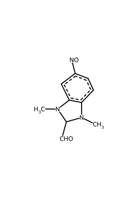 CN1c2ccc(N=O)cc2N(C)C1C=O